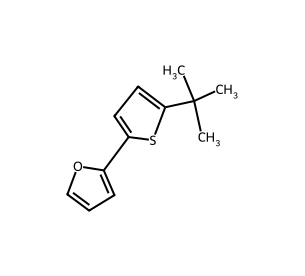 CC(C)(C)c1ccc(-c2ccco2)s1